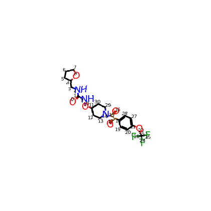 O=C(NCC1CCCO1)NOC1CCN(S(=O)(=O)c2ccc(OC(F)(F)F)cc2)CC1